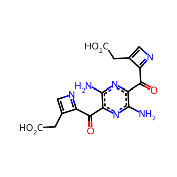 Nc1nc(C(=O)C2=NC=C2CC(=O)O)c(N)nc1C(=O)C1=NC=C1CC(=O)O